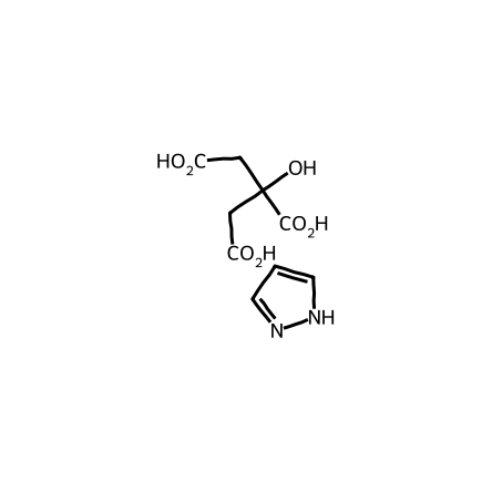 O=C(O)CC(O)(CC(=O)O)C(=O)O.c1cn[nH]c1